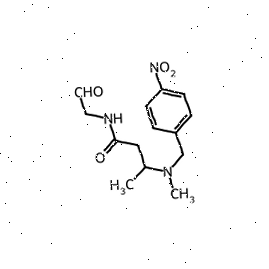 CC(CC(=O)NCC=O)N(C)Cc1ccc([N+](=O)[O-])cc1